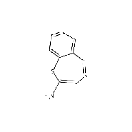 NC1=CN=Cc2ccccc2S1